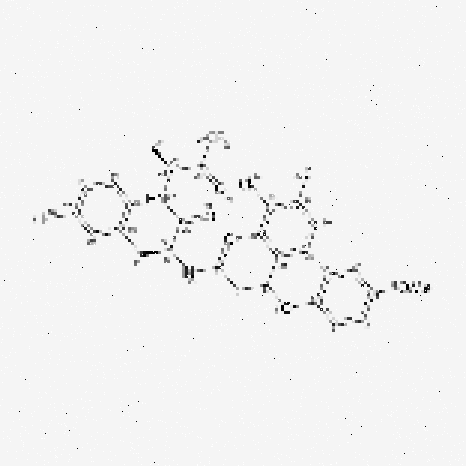 COc1ccc(OC(CC(=O)N[C@@H](Cc2cccc(Cl)c2)C(=O)N[C@@H](C)C(=O)C(F)(F)F)c2ccc(Cl)c(Cl)c2)cc1